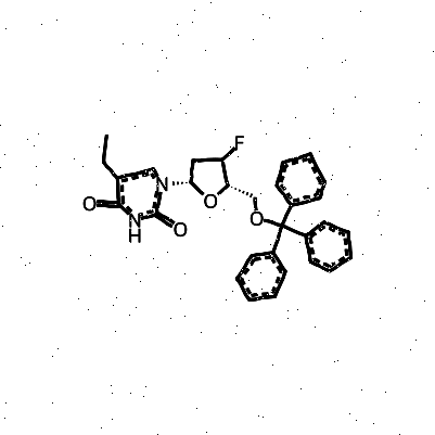 CCc1cn([C@@H]2CC(F)[C@H](COC(c3ccccc3)(c3ccccc3)c3ccccc3)O2)c(=O)[nH]c1=O